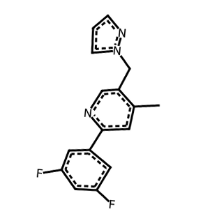 Cc1cc(-c2cc(F)cc(F)c2)ncc1Cn1cccn1